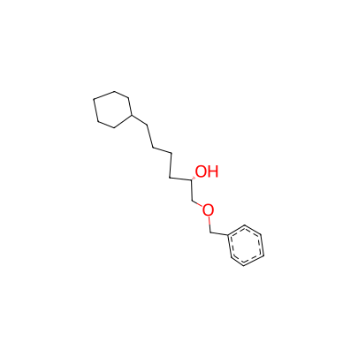 O[C@@H](CCCCC1CCCCC1)COCc1ccccc1